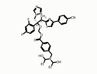 CCC(O)N(Cc1ccc(C(=O)OCO[C@@](Cn2cncn2)(c2ccc(F)cc2F)[C@@H](C)c2nc(-c3ccc(C#N)cc3)cs2)cc1)C(O)CC